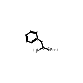 CCCCCC(N)Cc1ccccc1